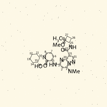 CNc1cc(Nc2cccn([C@H]3CCCC[C@H]3O)c2=O)nc2c(C(=O)N[C@H]3CC[C@]3(C)OC)cnn12